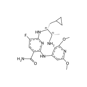 COc1cc(Nc2nc(N[C@H](CC3CC3)[C@H](C)N)c(F)cc2C(N)=O)cc(OC)n1